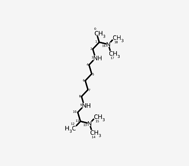 CC(CNCCCCCNCC(C)N(C)C)N(C)C